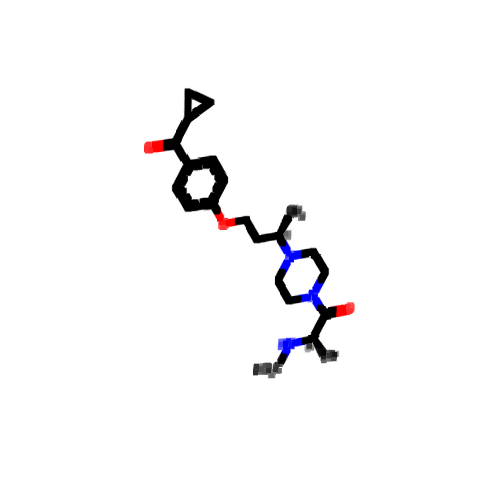 CCC[C@@H](NC(=O)O)C(=O)N1CCN([C@H](C)CCOc2ccc(C(=O)C3CC3)cc2)CC1